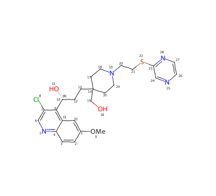 COc1ccc2ncc(Cl)c([C@H](O)CCC3(CO)CCN(CCSc4cnccn4)CC3)c2c1